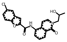 CC(O)Cn1ccc2c(NC(=O)c3cc4cc(Cl)ccc4o3)cccc2c1=O